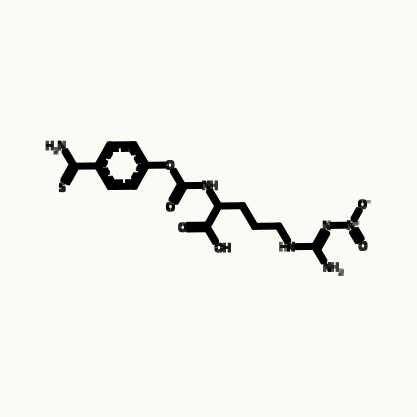 NC(=S)c1ccc(OC(=O)NC(CCCNC(N)=N[N+](=O)[O-])C(=O)O)cc1